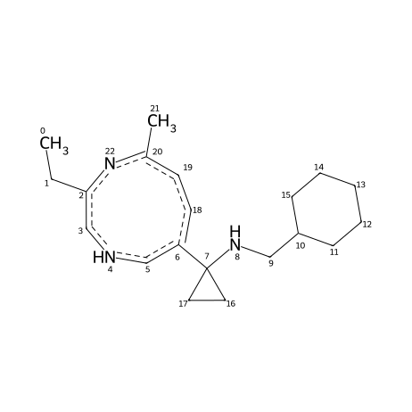 CCc1c[nH]cc(C2(NCC3CCCCC3)CC2)ccc(C)n1